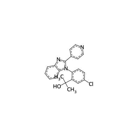 CC(C)(O)c1cc(Cl)ccc1-n1c(-c2ccncc2)nc2ccccc21